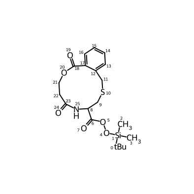 CC(C)(C)[Si](C)(C)OOC(=O)C1CSCc2ccccc2C(=O)OCCC(=O)N1